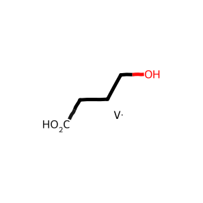 O=C(O)CCCO.[V]